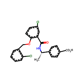 C[C@H](NC(=O)c1cc(Cl)ccc1OCc1ccccc1Cl)c1ccc(C(=O)O)cc1